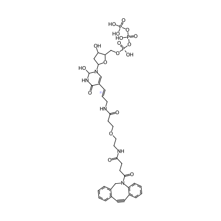 O=C(CCOCCNC(=O)CCC(=O)N1Cc2ccccc2C#Cc2ccccc21)NC/C=C/C1=CN(C2CC(O)C(COP(=O)(O)OP(=O)(O)OP(=O)(O)O)O2)C(O)NC1=O